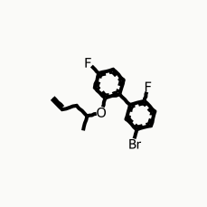 C=CCC(C)Oc1cc(F)ccc1-c1cc(Br)ccc1F